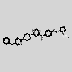 CN1CCC[C@H]1COc1ccc(Nc2ncnc(N3CCN(c4ncc(Cc5ccccc5)cn4)CC3)n2)cc1